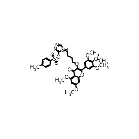 COc1cc(OC)c2c(=O)c(OCCCC[SH]3C=NN=C3OS(=O)(=O)c3ccc(C)cc3)c(-c3cc(OC)c(OC)c(OC)c3)oc2c1